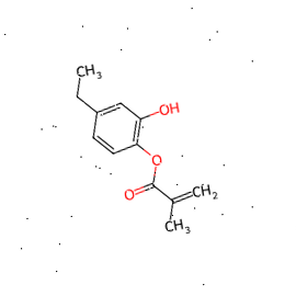 C=C(C)C(=O)Oc1ccc(CC)cc1O